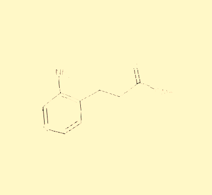 COC(=O)CCc1ccncc1N